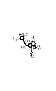 CCOCCOc1cc(C(O)C#Cc2ccc(C(=O)O)c(C)c2)cc2c1C(C)(C)CCC2(C)C